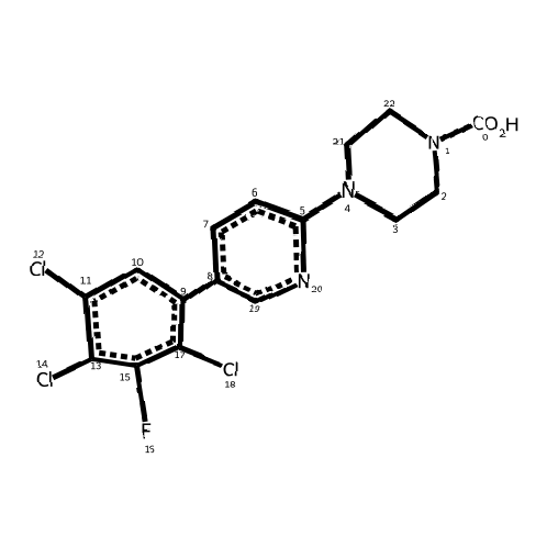 O=C(O)N1CCN(c2ccc(-c3cc(Cl)c(Cl)c(F)c3Cl)cn2)CC1